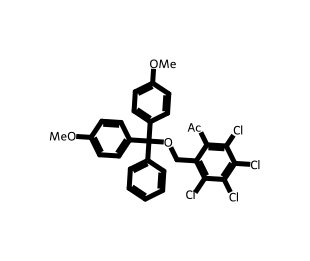 COc1ccc(C(OCc2c(Cl)c(Cl)c(Cl)c(Cl)c2C(C)=O)(c2ccccc2)c2ccc(OC)cc2)cc1